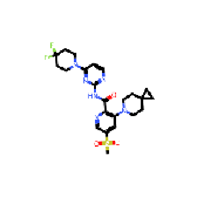 CS(=O)(=O)c1cnc(C(=O)Nc2nccc(N3CCC(F)(F)CC3)n2)c(N2CCC3(CC2)CC3)c1